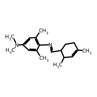 CC1=CC(C)C(C=Nc2c(C)cc(N(C)C)cc2C)CC1